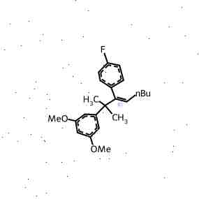 CCCC/C=C(\c1ccc(F)cc1)C(C)(C)c1cc(OC)cc(OC)c1